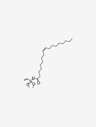 C=C[Si](OC)(OC)OC(=O)CCCCCCC/C=C\CCCCCCCC